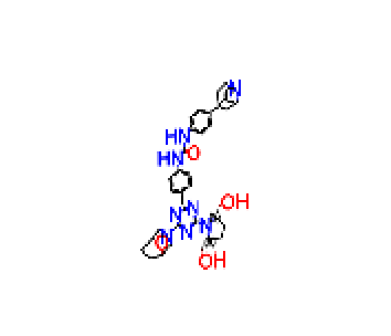 O=C(Nc1ccc(-c2nc(N3CC4CCC(C3)O4)nc(N3[C@H](CO)CC[C@@H]3CO)n2)cc1)Nc1ccc(C23CCN(CC2)CC3)cc1